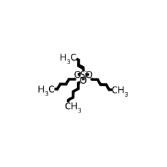 CCC=C[Si](OCCCCCC)(OCCCCCC)OCCCCCC